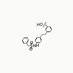 O=C(O)c1cccc(CCc2ccc(NS(=O)(=O)Cc3ccccc3)cc2)c1